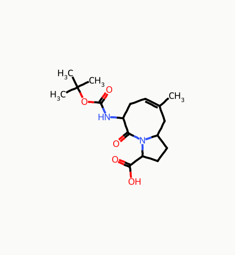 CC1=CCC(NC(=O)OC(C)(C)C)C(=O)N2C(CCC2C(=O)O)C1